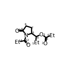 CCC(=O)OC(CC)C1CCC(=O)N1C(=O)CC